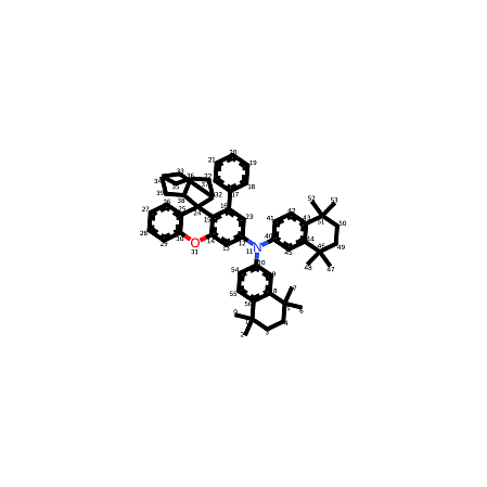 CC1(C)CCC(C)(C)c2cc(N(c3cc4c(c(-c5ccccc5)c3)C3(c5ccccc5O4)C4CC5CC(C4)C3C5)c3ccc4c(c3)C(C)(C)CCC4(C)C)ccc21